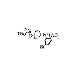 CC(C)(C)[Si](C)(C)O[C@H]1CC[C@H](Nc2cc(Br)ccc2[N+](=O)[O-])CC1